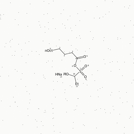 CCCCCCCCCCCC(=O)OS(=O)(=O)C(O)CC.[NaH]